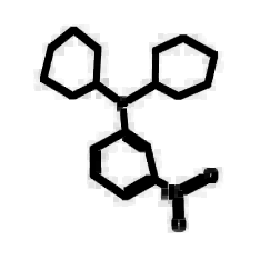 O=[SH](=O)c1cccc(P(C2CCCCC2)C2CCCCC2)c1